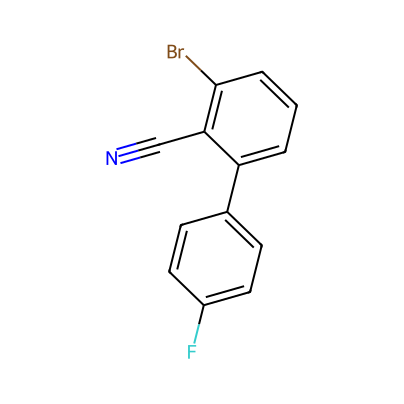 N#Cc1c(Br)cccc1-c1ccc(F)cc1